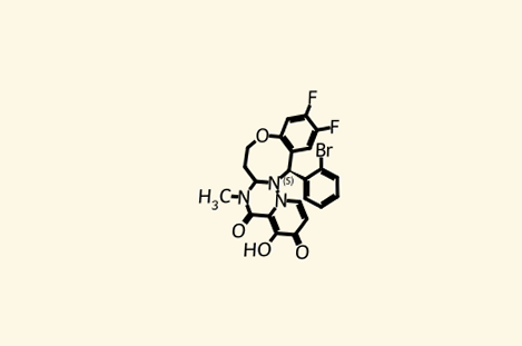 CN1C(=O)c2c(O)c(=O)ccn2N2C1CCOc1cc(F)c(F)cc1[C@H]2c1ccccc1Br